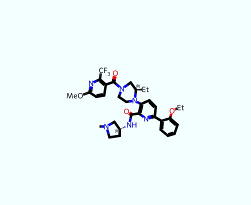 CCOc1ccccc1-c1ccc(N2CCN(C(=O)c3ccc(OC)nc3C(F)(F)F)C[C@H]2CC)c(C(=O)N[C@@H]2CCN(C)C2)n1